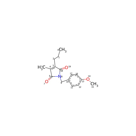 CCCC1=C(C)C(=O)N(Cc2ccc(OC)cc2)C1=O